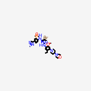 CCc1cc(Nc2ncc(Br)c(Nc3ccc(-c4cnn(C)n4)cc3P(C)(C)=O)n2)c(OC)cc1N1CCC(N2CCOCC2)CC1